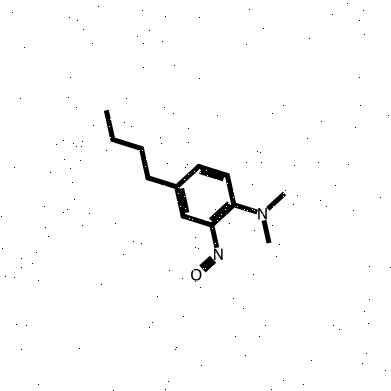 CCCCc1ccc(N(C)C)c(N=O)c1